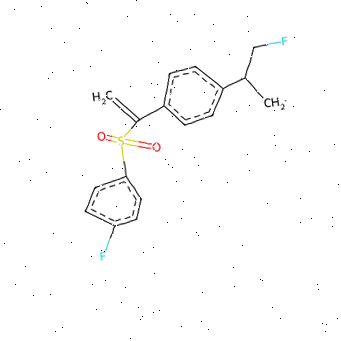 [CH2][C](CF)c1ccc(C(=C)S(=O)(=O)c2ccc(F)cc2)cc1